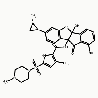 Cc1cc(S(=O)(=O)N2CCN(C)CC2)[nH]c1C(=O)NC12C(=O)c3c(N)cccc3C1(O)Oc1cc([C@H]3C[C@@H]3C)ccc12